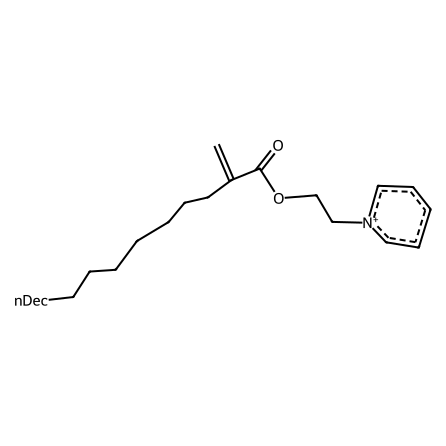 C=C(CCCCCCCCCCCCCCCCC)C(=O)OCC[n+]1ccccc1